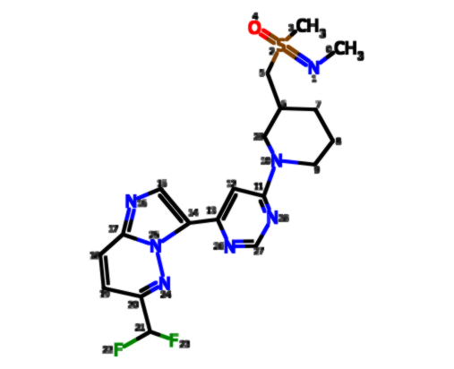 CN=S(C)(=O)CC1CCCN(c2cc(-c3cnc4ccc(C(F)F)nn34)ncn2)C1